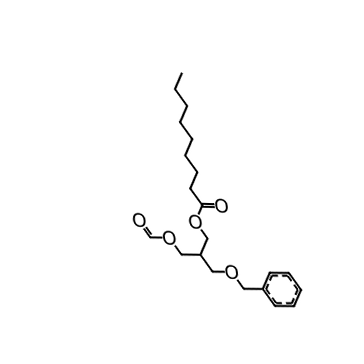 CCCCCCCCC(=O)OCC(COC=O)COCc1ccccc1